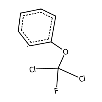 FC(Cl)(Cl)Oc1[c]cccc1